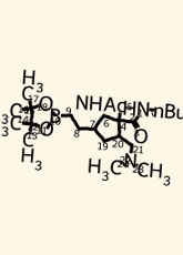 CCCCNC(=O)C1(NC(C)=O)CC(CCB2OC(C)(C)C(C)(C)O2)CC1CN(C)C